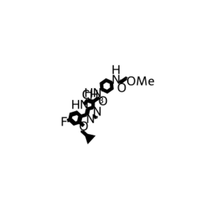 COCC(=O)NC1CCC(NC(=O)c2c(C)[nH]c3c(-c4ccc(F)cc4OCC4CC4)ncnc23)CC1